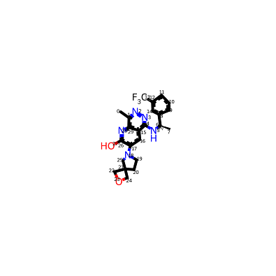 Cc1nnc(N[C@H](C)c2cccc(C(F)(F)F)c2)c2cc(N3CCC4(COC4)C3)c(O)nc12